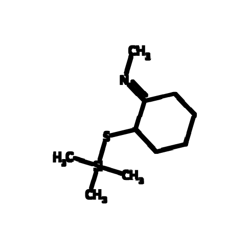 C/N=C1\CCCCC1S[Si](C)(C)C